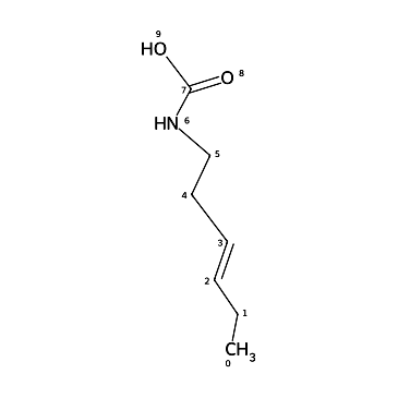 CC/C=C/CCNC(=O)O